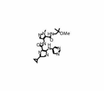 COC(C)(C)CNC(=O)c1c(NC(=O)c2nc(C3CC3)cnc2Nc2cncnc2)cnn1C